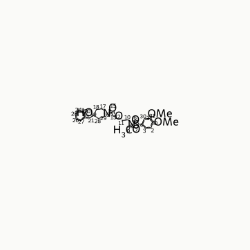 COc1ccc(S(=O)(=O)N(C)CCOCC(=O)N2CCC(O)(Cc3ccccc3)CC2)cc1OC